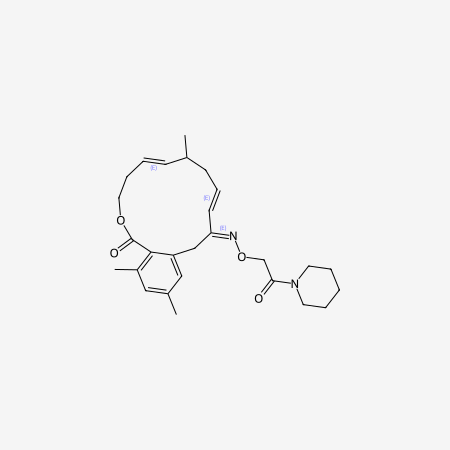 Cc1cc(C)c2c(c1)CC(=N\OCC(=O)N1CCCCC1)/C=C/CC(C)/C=C/CCOC2=O